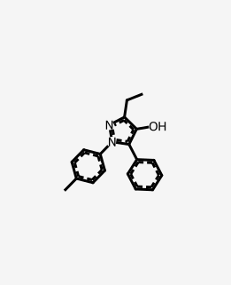 CCc1nn(-c2ccc(C)cc2)c(-c2ccccc2)c1O